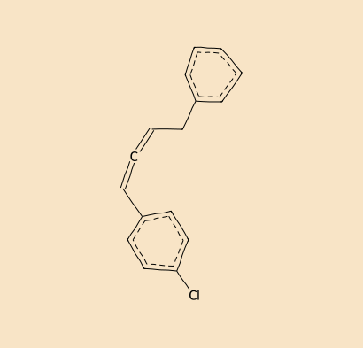 Clc1ccc(C=C=CCc2ccccc2)cc1